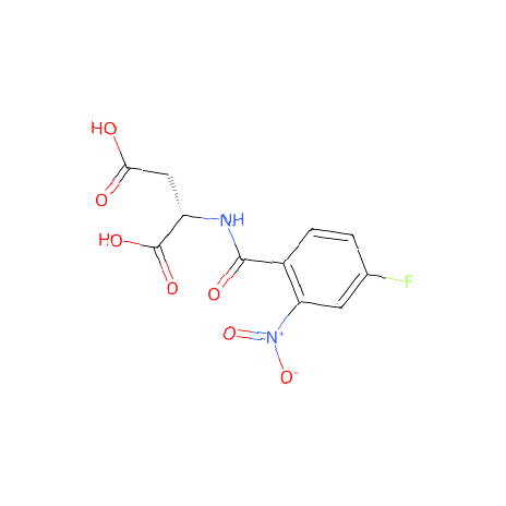 O=C(O)C[C@H](NC(=O)c1ccc(F)cc1[N+](=O)[O-])C(=O)O